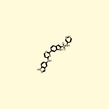 O=S(=O)(Nc1ccnnc1)c1cc2ccc(-c3nccc(Nc4ccc5[nH]ncc5c4)n3)cc2[nH]1